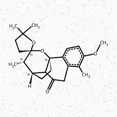 COc1ccc2c(c1C)CC(=O)C1[C@@H]3CC[C@]21O[C@]1(CCC(C)(C)O1)[C@H]3C